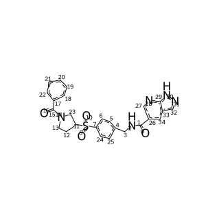 O=C(NCc1ccc(S(=O)(=O)C2CCN(C(=O)c3ccccc3)C2)cc1)c1cnc2[nH]ncc2c1